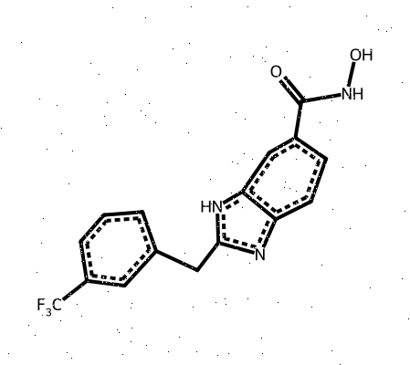 O=C(NO)c1ccc2nc(Cc3cccc(C(F)(F)F)c3)[nH]c2c1